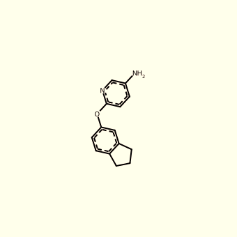 Nc1ccc(Oc2ccc3c(c2)CCC3)nc1